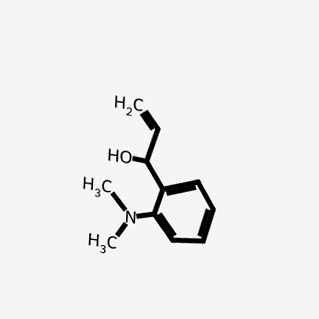 C=CC(O)c1ccccc1N(C)C